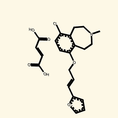 CN1CCc2c(Cl)ccc(OCC=Cc3ccco3)c2CC1.O=C(O)C=CC(=O)O